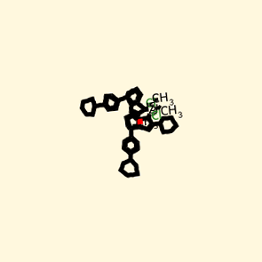 CC1=Cc2c(-c3ccc(C4CCCCC4)cc3)cccc2[CH]1[Zr]([Cl])([Cl])([CH]1C(C2CCCCC2)=Cc2c(-c3ccc(C4CCCCC4)cc3)cccc21)[SiH](C)C